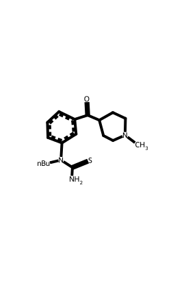 CCCCN(C(N)=S)c1cccc(C(=O)C2CCN(C)CC2)c1